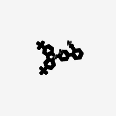 CC(C)(C)c1ccc2c(c1)c1cc(C(C)(C)C)ccc1n2-c1ccc(-c2ccccc2C#N)cn1